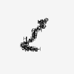 O=C1CCC(N2Cc3cc(CNC(=O)c4ccc(N5CCC6(CN(CCC(=O)Nc7cccc(Sc8cnc(N9CCC%10(CCNC%10)CC9)cn8)c7)C6)C5)nn4)ccc3C2=O)C(=O)N1